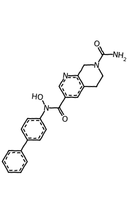 NC(=O)N1CCc2cc(C(=O)N(O)c3ccc(-c4ccccc4)cc3)cnc2C1